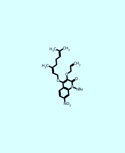 C=CCOc1c(OCC=C(C)CCC=C(C)C)c2ccc([N+](=O)[O-])cc2n(CCCC)c1=O